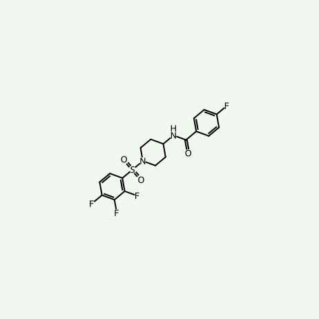 O=C(NC1CCN(S(=O)(=O)c2ccc(F)c(F)c2F)CC1)c1ccc(F)cc1